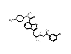 C[C@H](Cc1c[nH]c2c(C(=O)N(C)C3CCN(C)CC3)cccc12)NC[C@@H](O)c1cccc(Cl)c1